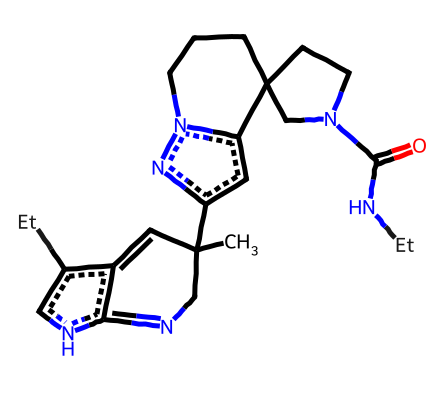 CCNC(=O)N1CCC2(CCCn3nc(C4(C)C=c5c(CC)c[nH]c5=NC4)cc32)C1